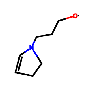 [O]CCCN1C=CCC1